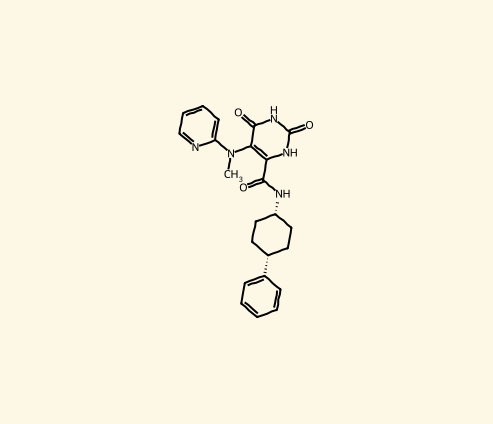 CN(c1ccccn1)c1c(C(=O)N[C@H]2CC[C@@H](c3ccccc3)CC2)[nH]c(=O)[nH]c1=O